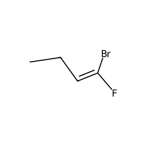 CCC=C(F)Br